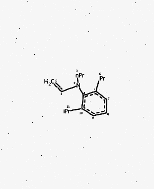 C=CN(CCC)c1c(C(C)C)cccc1C(C)C